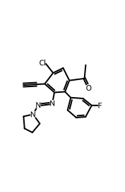 C#Cc1c(Cl)cc(C(C)=O)c(-c2cccc(F)c2)c1N=NN1CCCC1